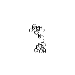 C[C@H]1CCCN1C(=O)c1ccc(N2CCC(CC3CCN(C(=O)C(O)(c4ccccc4)C(F)(F)F)CC3)CC2)cc1Cl